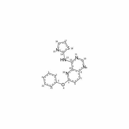 c1ccc(Oc2ccc3ncnc(Nc4nccs4)c3n2)cc1